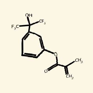 C=C(C)C(=O)Oc1cccc(C(O)(C(F)(F)F)C(F)(F)F)c1